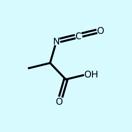 CC(N=C=O)C(=O)O